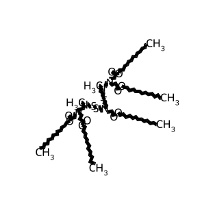 CCCCCCCCCCCCCCOC(=O)CCN(CCSSCCN(C)CCN(CCC(=O)OCCCCCCCCCCCCCC)CCC(=O)OCCCCCCCCCCCCCC)CCSSCCN(C)CCN(CCC(=O)OCCCCCCCCCCCCCC)CCC(=O)OCCCCCCCCCCCCCC